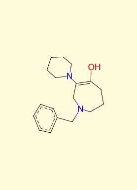 OC1=C(N2CCCCC2)CN(Cc2ccccc2)CCC1